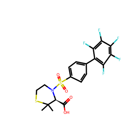 CC1(C)SCCN(S(=O)(=O)c2ccc(-c3c(F)c(F)c(F)c(F)c3F)cc2)[C@H]1C(=O)O